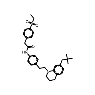 CCS(=O)(=O)c1ccc(CC(=O)Nc2ccc(CCN3CCCc4ccc(CC(C)(C)C)cc43)cc2)cc1